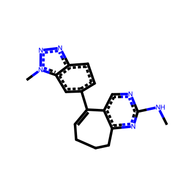 CNc1ncc2c(n1)CCCC=C2c1ccc2nnn(C)c2c1